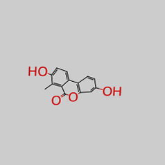 Cc1c(O)ccc2c1c(=O)oc1cc(O)ccc12